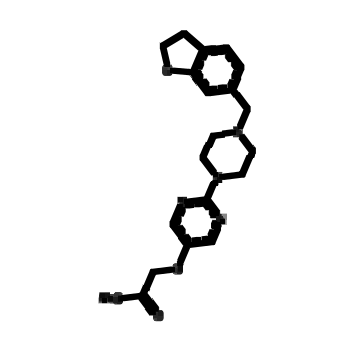 COC(=O)COc1cnc(N2CCN(Cc3ccc4c(c3)OCC4)CC2)nc1